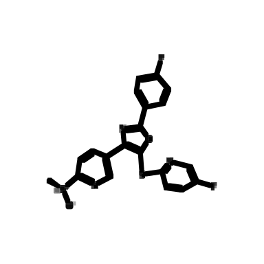 C[S@+]([O-])c1ccc(-c2nc(-c3ccc(F)cc3)oc2Sc2ccc(F)cn2)cn1